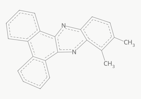 Cc1ccc2nc3c4ccccc4c4ccccc4c3nc2c1C